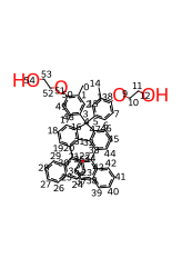 Cc1cc(C2(c3ccc(OCCO)c(C)c3)c3cccc(-c4cccc5ccccc45)c3-c3c(-c4cccc5ccccc45)cccc32)ccc1OCCO